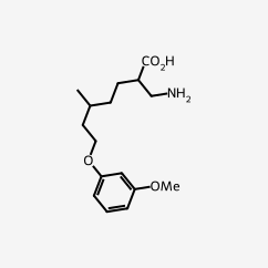 COc1cccc(OCCC(C)CCC(CN)C(=O)O)c1